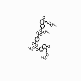 COCCN1C(=O)CCc2cc(O[C@@H](C)OC(=O)N3CCN(C(=O)O[C@H](C)Oc4ccc5c(c4)CCC(=O)N5CCOC)CC3)ccc21